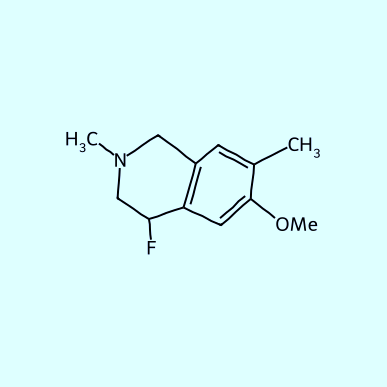 COc1cc2c(cc1C)CN(C)CC2F